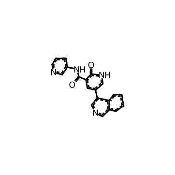 O=C(Nc1cccnc1)c1cc(-c2cncc3ccccc23)c[nH]c1=O